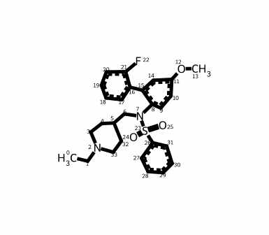 CCN1CCC(CN(c2ccc(OC)cc2-c2ccccc2F)S(=O)(=O)c2ccccc2)CC1